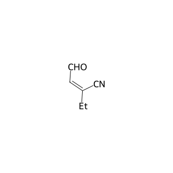 CCC(C#N)=CC=O